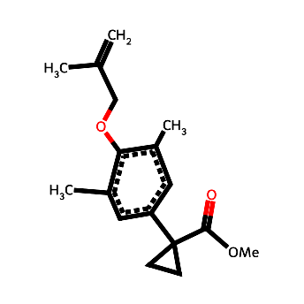 C=C(C)COc1c(C)cc(C2(C(=O)OC)CC2)cc1C